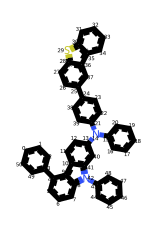 c1ccc(-c2cccc3c2c2ccc(N(c4ccccc4)c4ccc(-c5ccc6sc7ccccc7c6c5)cc4)cc2n3-c2ccccc2)cc1